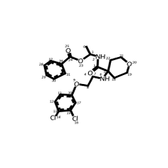 CC(NC(=O)C1(NCCOc2ccc(Cl)c(Cl)c2)CCOCC1)OC(=O)c1ccccc1